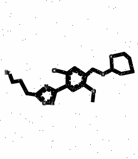 COc1cc(-c2noc(CCCBr)n2)c(Cl)cc1COC1CCCCO1